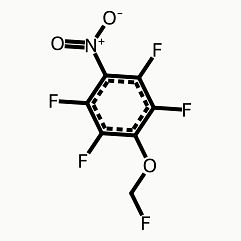 O=[N+]([O-])c1c(F)c(F)c(OCF)c(F)c1F